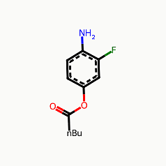 CCCCC(=O)Oc1ccc(N)c(F)c1